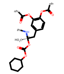 CCCC(=O)Oc1ccc(C[C@](NC(C)C)(OC(=O)OC2CCCCC2)C(=O)O)cc1OC(=O)CCC